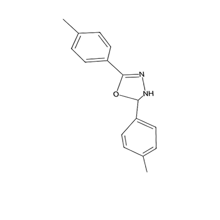 Cc1ccc(C2=NNC(c3ccc(C)cc3)O2)cc1